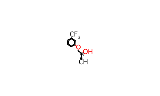 C#C[C@@H](O)COc1cccc(C(F)(F)F)c1